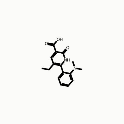 CCc1cc(C(=O)O)c(=O)[nH]c1-c1ccccc1N(C)C